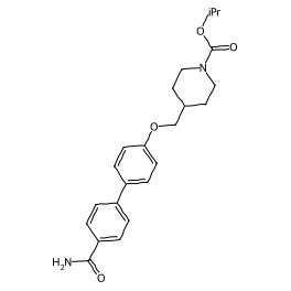 CC(C)OC(=O)N1CCC(COc2ccc(-c3ccc(C(N)=O)cc3)cc2)CC1